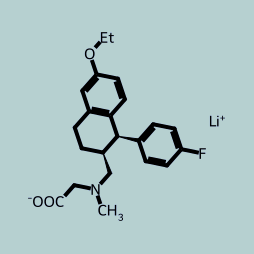 CCOc1ccc2c(c1)CC[C@H](CN(C)CC(=O)[O-])[C@@H]2c1ccc(F)cc1.[Li+]